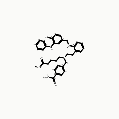 COC(=O)CCCCN(CCc1ccccc1OCc1ccc(F)c(Oc2ccccc2)c1)Cc1ccc(C(=O)OC)cc1